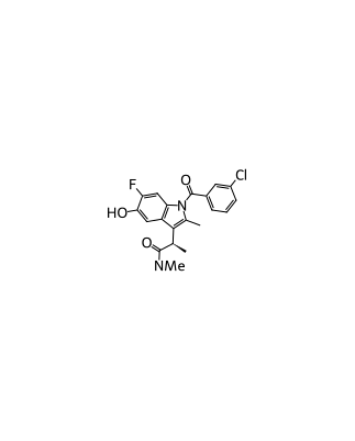 CNC(=O)[C@H](C)c1c(C)n(C(=O)c2cccc(Cl)c2)c2cc(F)c(O)cc12